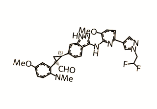 CNc1ccc(OC)cc1[C@@]1(C=O)C[C@H]1c1ccc2c(Nc3nc(-c4cnn(CC(F)F)c4)ccc3OC)n[nH]c2c1